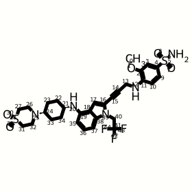 COc1cc(S(N)(=O)=O)ccc1NCC#Cc1cc2c(N[C@H]3CC[C@@H](N4CCS(=O)(=O)CC4)CC3)cccc2n1CC(F)(F)F